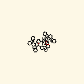 c1ccc(-c2nc(-c3cccc4oc5ccc(-c6ccc(-n7c8ccccc8c8ccccc87)c7oc8ccccc8c67)cc5c34)nc(-n3c4ccccc4c4ccc5c6ccccc6n(-c6ccccc6)c5c43)n2)cc1